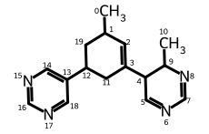 CC1C=C(C2C=NC=NC2C)CC(c2cncnc2)C1